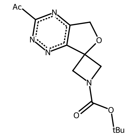 CC(=O)c1nnc2c(n1)COC21CN(C(=O)OC(C)(C)C)C1